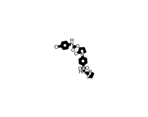 O=C(Nc1ccc(Cl)cc1)O[C@H]1CCN(c2ccc(S(=O)(=O)Nc3nccs3)cc2)C1=O